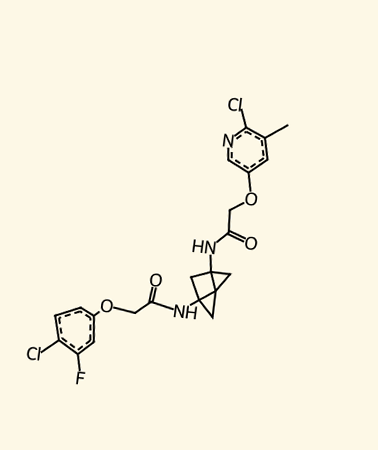 Cc1cc(OCC(=O)NC23CC4(NC(=O)COc5ccc(Cl)c(F)c5)CC24C3)cnc1Cl